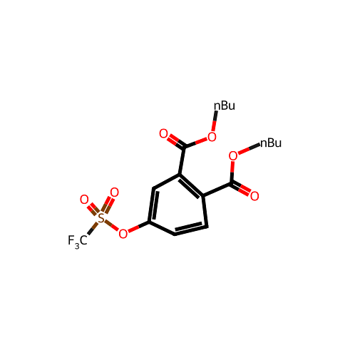 CCCCOC(=O)c1ccc(OS(=O)(=O)C(F)(F)F)cc1C(=O)OCCCC